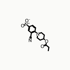 CCC(=O)OC1CCN(c2ccc([N+](=O)[O-])cc2C#N)CC1